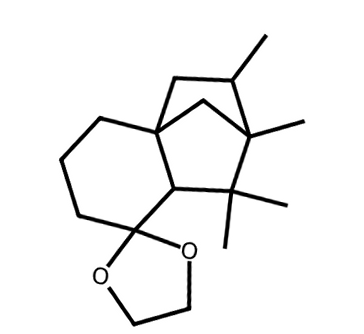 CC1CC23CCCC4(OCCO4)C2C(C)(C)C1(C)C3